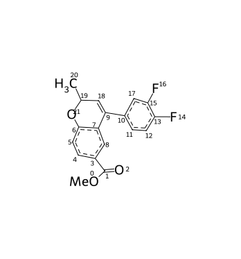 COC(=O)c1ccc2c(c1)C(c1ccc(F)c(F)c1)=CC(C)O2